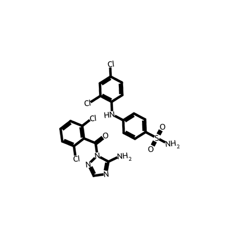 NS(=O)(=O)c1ccc(Nc2ccc(Cl)cc2Cl)cc1.Nc1ncnn1C(=O)c1c(Cl)cccc1Cl